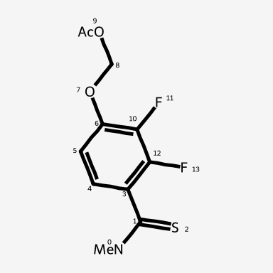 CNC(=S)c1ccc(OCOC(C)=O)c(F)c1F